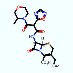 CC(=O)OCC1=C(C(=O)O)N2C(=O)[C@@H](NC(=O)C(C(=O)N3CCOCC3C)c3ncno3)[C@H]2SC1